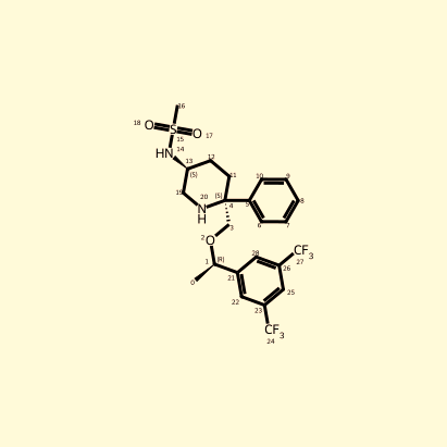 C[C@@H](OC[C@@]1(c2ccccc2)CC[C@H](NS(C)(=O)=O)CN1)c1cc(C(F)(F)F)cc(C(F)(F)F)c1